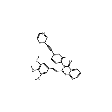 COc1cc(/C=C/c2nc3ccccc3c(=O)n2-c2ccc(C#Cc3cccnc3)cc2C)cc(OC)c1OC